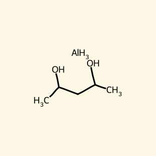 CC(O)CC(C)O.[AlH3]